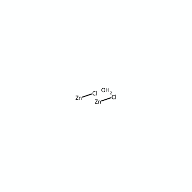 O.[Cl][Zn].[Cl][Zn]